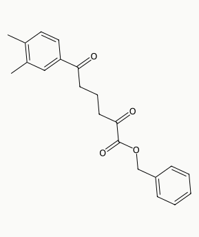 Cc1ccc(C(=O)CCCC(=O)C(=O)OCc2ccccc2)cc1C